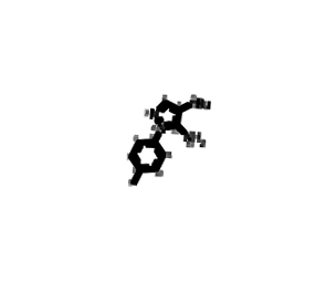 CCCCc1cnn(-c2ccc(C)cc2)c1N